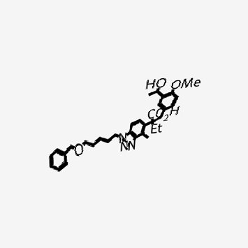 CCC(Cc1ccc(OC)c(C(C)O)c1)(C(=O)O)c1ccc2c(nnn2CCCCCOCc2ccccc2)c1C